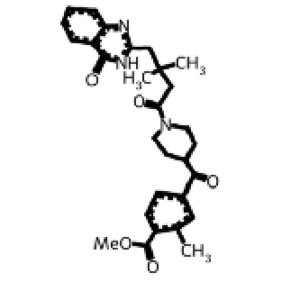 COC(=O)c1ccc(C(=O)C2CCN(C(=O)CC(C)(C)Cc3nc4ccccc4c(=O)[nH]3)CC2)cc1C